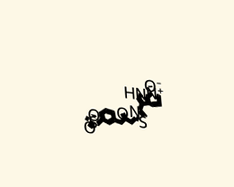 CS(=O)(=O)Cc1cccc(CC(=O)Cc2nc(-c3c[nH]c4c3ccc[n+]4[O-])cs2)c1